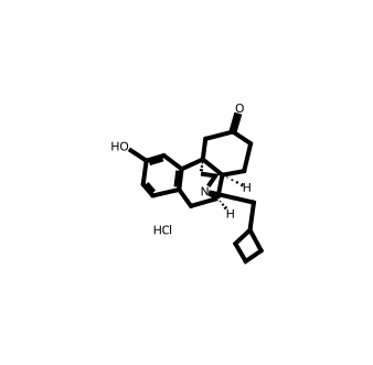 Cl.O=C1CC[C@H]2[C@H]3Cc4ccc(O)cc4[C@@]2(CCN3CC2CCC2)C1